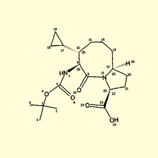 CC(C)(C)OC(=O)N[C@@H]1C(=O)N2[C@@H](CCC[C@H]1C1CC1)CC[C@H]2C(=O)O